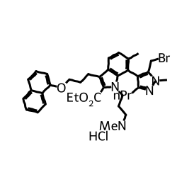 CCCc1nn(C)c(CBr)c1-c1c(C)ccc2c(CCCOc3cccc4ccccc34)c(C(=O)OCC)n(CCCNC)c12.Cl